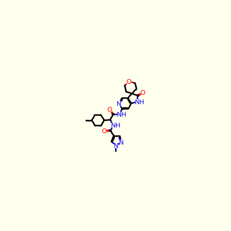 CC1CCC(C(NC(=O)c2cnn(C)c2)C(=O)Nc2cc3c(cn2)C2(CCOCC2)C(=O)N3)CC1